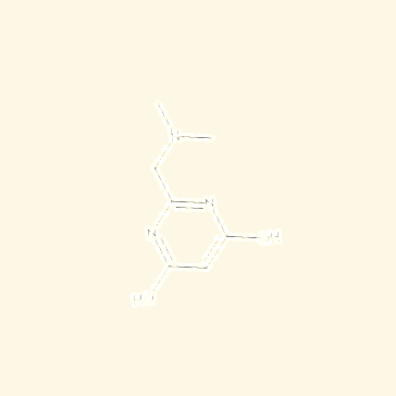 CN(C)Cc1nc(O)cc(O)n1